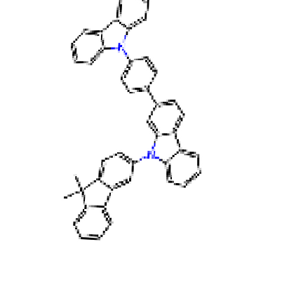 CC1(C)c2ccccc2-c2cc(-n3c4ccccc4c4ccc(-c5ccc(-n6c7ccccc7c7ccccc76)cc5)cc43)ccc21